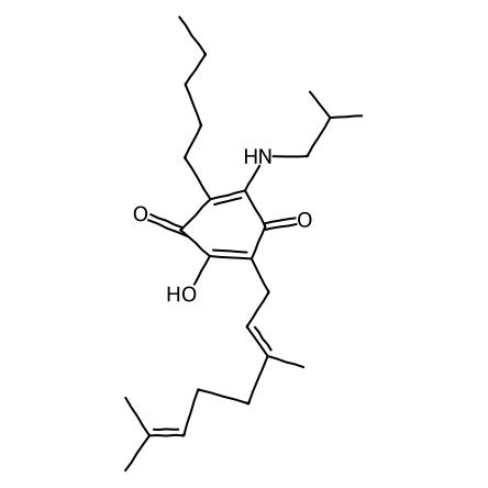 CCCCCC1=C(NCC(C)C)C(=O)C(C/C=C(\C)CCC=C(C)C)=C(O)C1=O